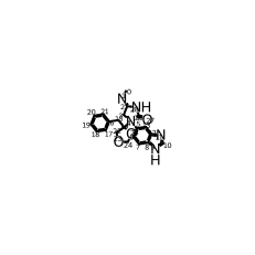 CN=C1C[N+](c2ccc3[nH]cnc3c2)(C2(Cc3ccccc3)COCO2)C(=O)N1